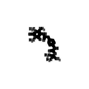 Cn1c(N)c(NC(=O)Cc2ccc(NC(=O)OC(C)(C)C)cc2)c(=O)n(C)c1=O